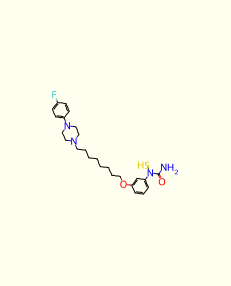 NC(=O)N(S)c1cccc(OCCCCCCCCN2CCN(c3ccc(F)cc3)CC2)c1